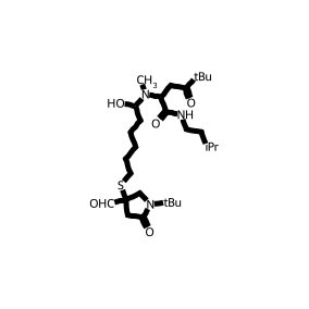 CC(C)CCNC(=O)C(CC(=O)C(C)(C)C)N(C)C(O)CCCCCSC1(C=O)CC(=O)N(C(C)(C)C)C1